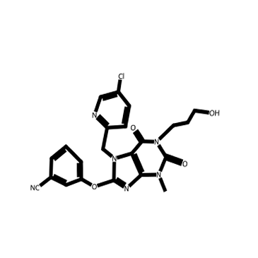 Cn1c(=O)n(CCCO)c(=O)c2c1nc(Oc1cccc(C#N)c1)n2Cc1ccc(Cl)cn1